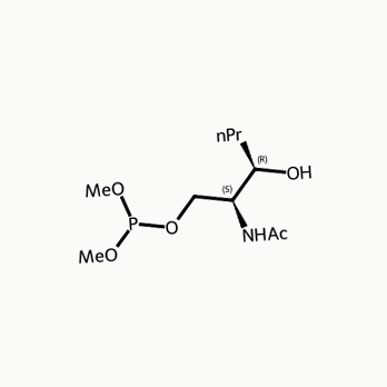 CCC[C@@H](O)[C@H](COP(OC)OC)NC(C)=O